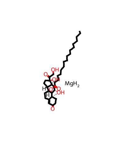 CCCCCCCCCCCCCCCCCC(=O)O[C@]12[C@@H](O)C[C@@]3(C)[C@@H](CC[C@]3(O)C(=O)CO)[C@@H]1CCC1=CC(=O)CC[C@@]12C.[MgH2]